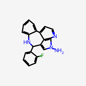 Nn1cc2c3c(ccnc31)-c1ccccc1NC2c1ccccc1F